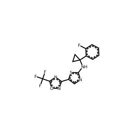 Fc1ccccc1C1(Nc2ncc(-c3noc(C(F)(F)F)n3)s2)CC1